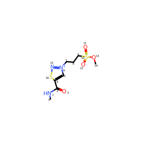 CNC(=O)c1c[n+](CCCS(=O)(=O)OC)ns1